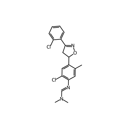 Cc1cc(N=CN(C)C)c(Cl)cc1C1CC(c2ccccc2Cl)=NO1